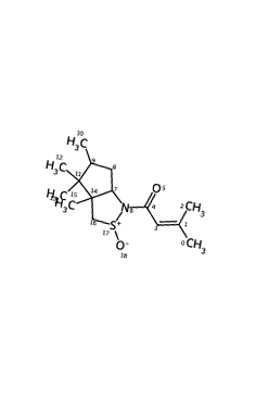 CC(C)=CC(=O)N1C2CC(C)C(C)(C)C2(C)C[S+]1[O-]